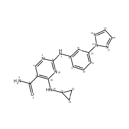 NC(=O)c1cnc(Nc2cccc(-n3nccn3)c2)nc1NC1CC1